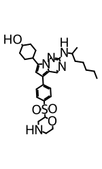 CCCCCC(C)Nc1ncc2c(-c3ccc(S(=O)(=O)C4CNCCO4)cc3)cc(C3CCC(O)CC3)n2n1